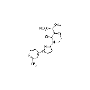 CC(=O)OC(C(=O)O)C1OCCN(c2ccn(-c3ccnc(C(F)(F)F)c3)n2)C1=O